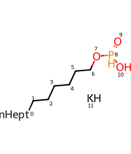 CCCCCCCCCCCCCO[PH](=O)O.[KH]